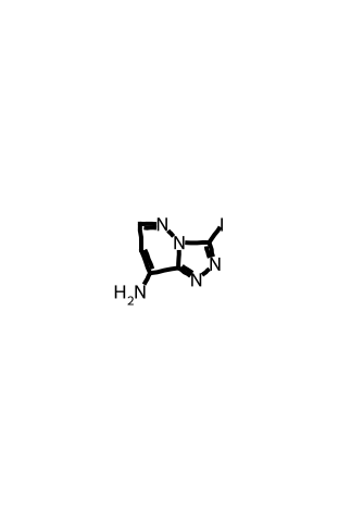 Nc1ccnn2c(I)nnc12